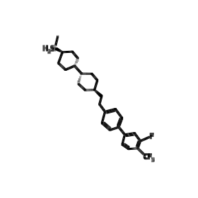 C[SiH2][C@H]1CC[C@H]([C@H]2CC[C@H](CCc3ccc(-c4ccc(C(F)(F)F)c(F)c4)cc3)CC2)CC1